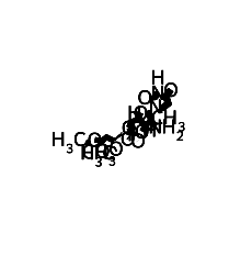 CO[C@H](CO[P@]1(=O)OC[C@H]2O[C@@H](n3ccc(=O)[nH]c3=O)[C@](C)(N)[C@@H]2O1)CC(=O)OC(C)C